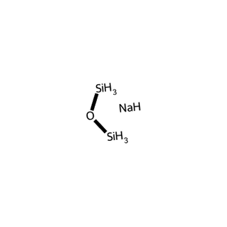 [NaH].[SiH3]O[SiH3]